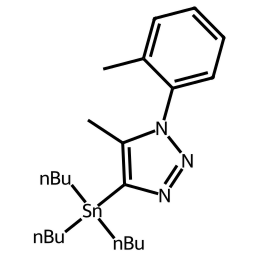 CCC[CH2][Sn]([CH2]CCC)([CH2]CCC)[c]1nnn(-c2ccccc2C)c1C